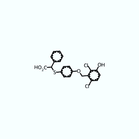 O=C(O)C(Sc1ccc(OCc2c(Cl)ccc(O)c2Cl)cc1)c1ccccc1